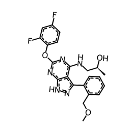 COCc1ccccc1-c1n[nH]c2nc(Oc3ccc(F)cc3F)nc(NC[C@H](C)O)c12